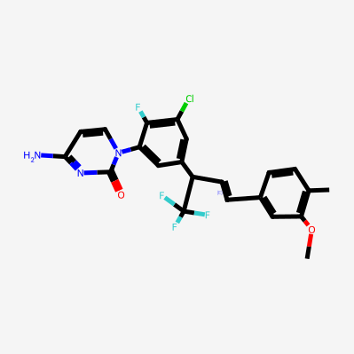 COc1cc(/C=C/C(c2cc(Cl)c(F)c(-n3ccc(N)nc3=O)c2)C(F)(F)F)ccc1C